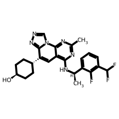 Cc1nc(N[C@H](C)c2cccc(C(F)F)c2F)c2cc([C@H]3CC[C@H](O)CC3)c3nncn3c2n1